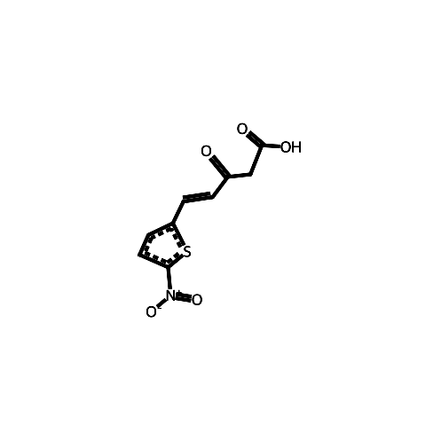 O=C(O)CC(=O)C=Cc1ccc([N+](=O)[O-])s1